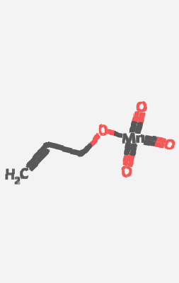 C=CC[O][Mn](=[O])(=[O])=[O]